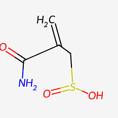 C=C(CS(=O)O)C(N)=O